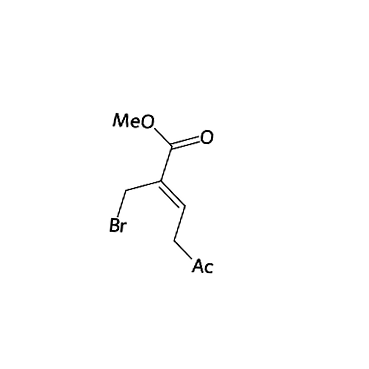 COC(=O)C(=CCC(C)=O)CBr